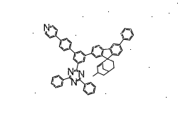 CC1C=C2CC(CCC23c2ccc(-c4ccccc4)cc2-c2ccc(-c4cc(-c5ccc(-c6ccncc6)cc5)cc(-c5nc(-c6ccccc6)nc(-c6ccccc6)n5)c4)cc23)C1